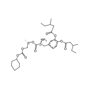 CCC(C)CC(=O)Oc1ccc(C[C@H](N)C(=O)O[C@@H](C)COC(=O)OC2CCCCC2)cc1OC(=O)CC(C)CC